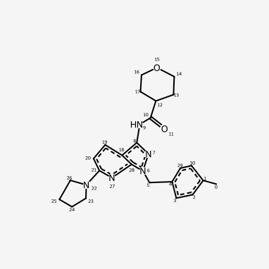 Cc1ccc(Cn2nc(NC(=O)C3CCOCC3)c3ccc(N4CCCC4)nc32)cc1